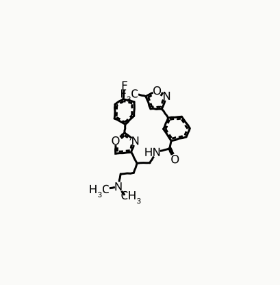 CN(C)CCC(CNC(=O)c1cccc(-c2cc(C(F)(F)F)on2)c1)c1coc(-c2ccc(F)cc2)n1